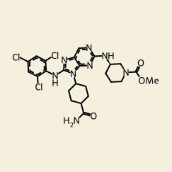 COC(=O)N1CCC[C@@H](Nc2ncc3nc(Nc4c(Cl)cc(Cl)cc4Cl)n(C4CCC(C(N)=O)CC4)c3n2)C1